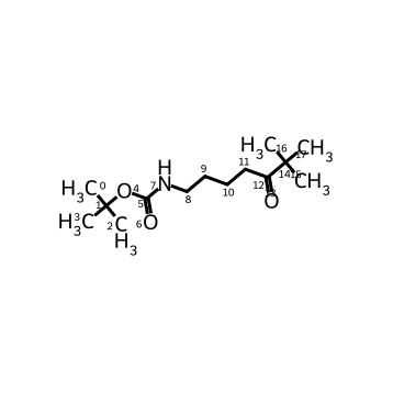 CC(C)(C)OC(=O)NCCCCC(=O)C(C)(C)C